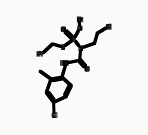 CCOP(=O)(SCC(C)C)N(CCCl)C(=O)Nc1ccc(Cl)cc1C